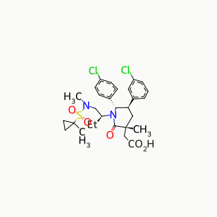 CC[C@@H](CN(C)S(=O)(=O)C1(C)CC1)N1C(=O)[C@@](C)(CC(=O)O)C[C@H](c2cccc(Cl)c2)[C@H]1c1ccc(Cl)cc1